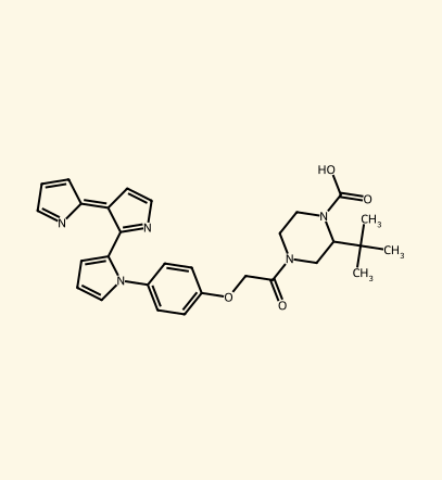 CC(C)(C)C1CN(C(=O)COc2ccc(-n3cccc3C3=NC=CC3=C3C=CC=N3)cc2)CCN1C(=O)O